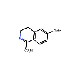 CCOC(=O)C1=NCCc2cc(OC)ccc21